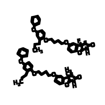 CCCc1cc(Oc2ccccc2)ccc1OCCCCOc1cccc(C2(C)SC(=O)NC2=O)c1.CCCc1cc(Oc2ccccc2)ccc1OCCCCOc1cccc(C2(F)SC(=O)NC2=O)c1